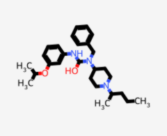 CCCC(C)N1CCC(N(Cc2ccccc2)C(O)Nc2cccc(OC(C)C)c2)CC1